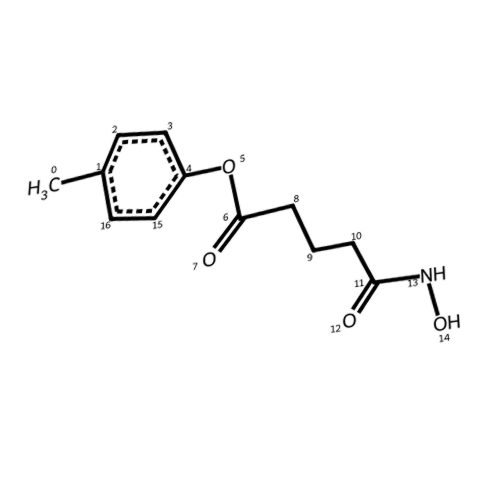 Cc1ccc(OC(=O)CCCC(=O)NO)cc1